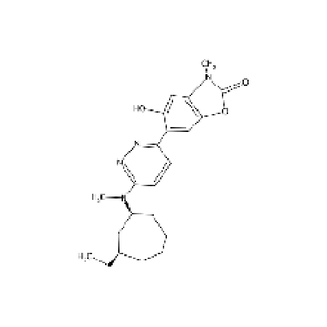 CC[C@@H]1CCCC[C@H](N(C)c2ccc(-c3cc4oc(=O)n(C)c4cc3O)nn2)C1